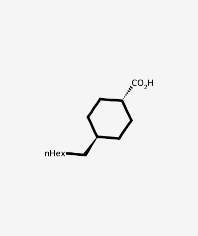 CCCCCCC[C@H]1CC[C@H](C(=O)O)CC1